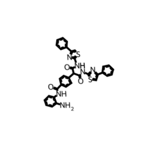 Nc1ccccc1NC(=O)c1ccc(C(C(=O)Nc2nc(-c3ccccc3)cs2)C(=O)Nc2nc(-c3ccccc3)cs2)cc1